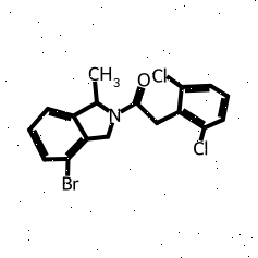 CC1c2cccc(Br)c2CN1C(=O)Cc1c(Cl)cccc1Cl